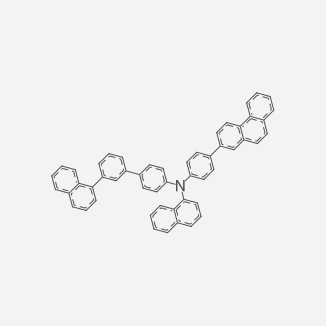 c1cc(-c2ccc(N(c3ccc(-c4ccc5c(ccc6ccccc65)c4)cc3)c3cccc4ccccc34)cc2)cc(-c2cccc3ccccc23)c1